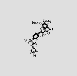 CCC(Nc1ccc(N(C)C(=O)CN2CCNCC2)cc1)=C1C(=O)Nc2cc(OC)c(OC)cc21